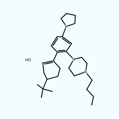 CCCCN1CCN(c2cc(N3CCCC3)ccc2C2=CCC(C(C)(C)C)CC2)CC1.Cl